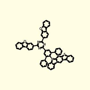 c1ccc(-c2cc(-c3nc(-c4ccc5c(c4)oc4ccccc45)nc(-c4ccc5c(c4)oc4ccccc45)n3)cc(-c3ccccc3)c2-n2c3ccccc3c3cc4c(cc32)sc2ccccc24)cc1